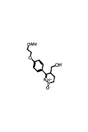 COCCOc1ccc(C2=N[NH+]([O-])CCC2CO)cc1